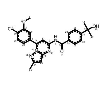 COc1cc(-c2cc(NC(=O)c3ccc(C(C)(C)O)cc3)nc3cc(C)nn23)ccc1Cl